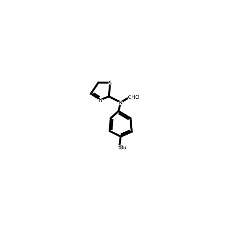 CC(C)(C)c1ccc(N(C=O)C2N=CCS2)cc1